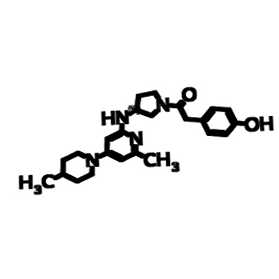 Cc1cc(N2CCC(C)CC2)cc(N[C@H]2CCN(C(=O)Cc3ccc(O)cc3)C2)n1